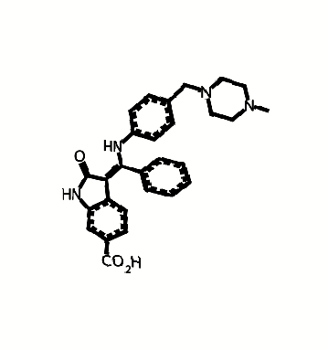 CN1CCN(Cc2ccc(N/C(=C3\C(=O)Nc4cc(C(=O)O)ccc43)c3ccccc3)cc2)CC1